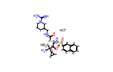 Cl.N=C(N)N1CCCC(CNC(=O)C[C@H](NS(=O)(=O)c2ccc3ccccc3c2)C(=O)C(N)(C(=O)O)C2CC2)C1